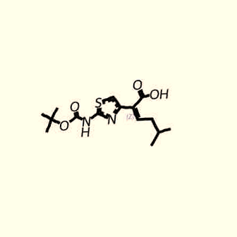 CC(C)C/C=C(\C(=O)O)c1csc(NC(=O)OC(C)(C)C)n1